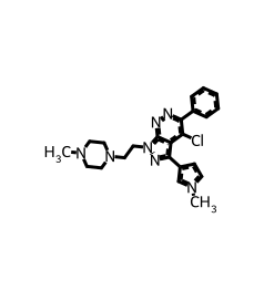 CN1CCN(CCn2nc(-c3ccn(C)c3)c3c(Cl)c(-c4ccccc4)nnc32)CC1